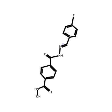 O=C(NO)c1ccc(C(=O)N/N=C/c2ccc(F)cc2)cc1